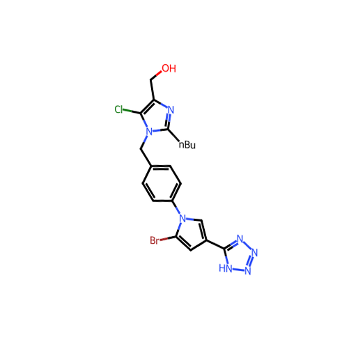 CCCCc1nc(CO)c(Cl)n1Cc1ccc(-n2cc(-c3nnn[nH]3)cc2Br)cc1